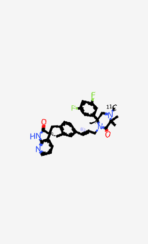 CC1(C)C(=O)N(C/C=C/c2ccc3c(c2)C[C@@]2(C3)C(=O)Nc3ncccc32)[C@](C)(c2cc(F)cc(F)c2)CN1[11CH3]